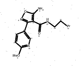 COc1ccc(-c2noc(N)c2C(=O)NCCC(C)C)cn1